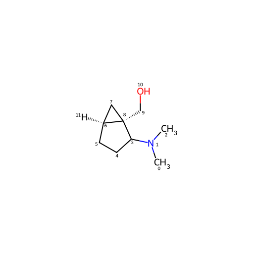 CN(C)C1CC[C@H]2C[C@@]12CO